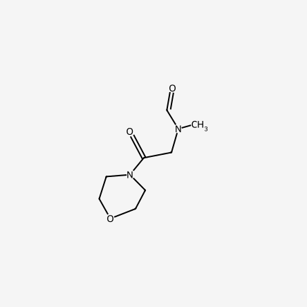 CN(C=O)CC(=O)N1CCOCC1